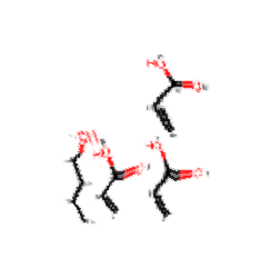 C=CC(=O)O.C=CC(=O)O.C=CC(=O)O.CCCCO